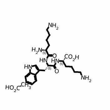 CC(=O)O.NCCCC[C@H](NC(=O)[C@H](Cc1c[nH]c2ccccc12)NC(=O)[C@@H](N)CCCCN)C(=O)O